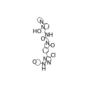 O=C(CN1Cc2ccc(-c3nc(NC4CCOCC4)ncc3Cl)cc2C1=O)N[C@H](CO)c1cccc(N2CCCC2)n1